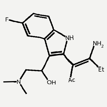 CCC(N)=C(C(C)=O)c1[nH]c2ccc(F)cc2c1C(O)CN(C)C